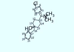 CN(C)C(c1ccc(Cl)cc1)C1CCC(O)(Cc2ccccc2)CC1